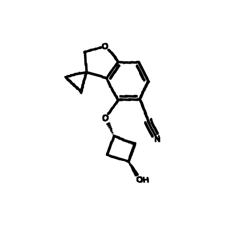 N#Cc1ccc2c(c1O[C@H]1C[C@H](O)C1)C1(CC1)CO2